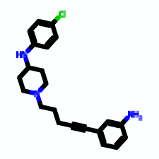 Nc1cccc(C#CCCCN2CCC(Nc3ccc(Cl)cc3)CC2)c1